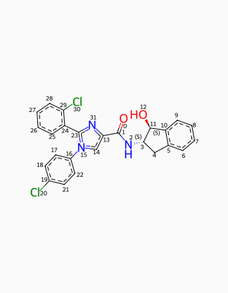 O=C(N[C@H]1Cc2ccccc2[C@@H]1O)c1cn(-c2ccc(Cl)cc2)c(-c2ccccc2Cl)n1